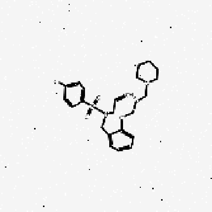 C=CCN(Cc1ccccc1OCCCN1CCCCC1)S(=O)(=O)c1ccc(Cl)cc1